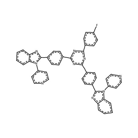 Fc1ccc(-c2nc(-c3ccc(-c4nc5ccccc5n4-c4ccncc4)cc3)nc(-c3ccc(-c4nc5ccccc5n4-c4ccncc4)cc3)n2)cc1